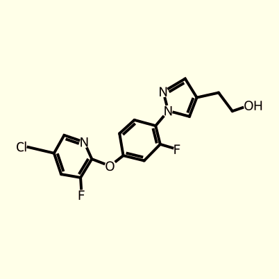 OCCc1cnn(-c2ccc(Oc3ncc(Cl)cc3F)cc2F)c1